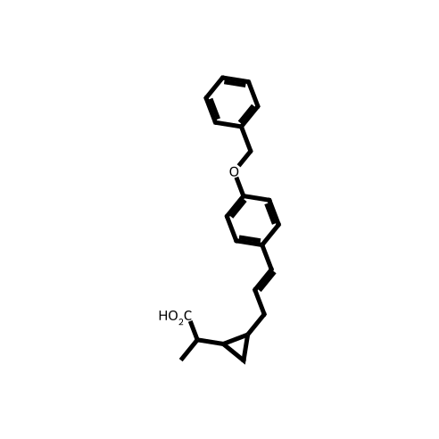 CC(C(=O)O)C1CC1CC=Cc1ccc(OCc2ccccc2)cc1